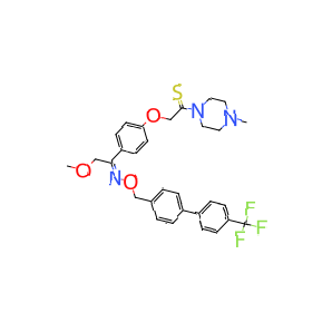 COC/C(=N/OCc1ccc(-c2ccc(C(F)(F)F)cc2)cc1)c1ccc(OCC(=S)N2CCN(C)CC2)cc1